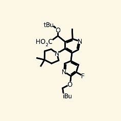 CCC(C)COc1ncc(-c2cnc(C)c(C(OC(C)(C)C)C(=O)O)c2N2CCC(C)(C)CC2)cc1F